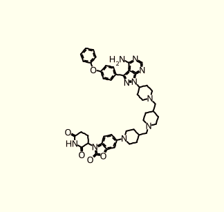 Nc1ncnc2c1c(-c1ccc(Oc3ccccc3)cc1)nn2C1CCN(CC2CCN(CC3CCN(c4ccc5c(c4)oc(=O)n5C4CCC(=O)NC4=O)CC3)CC2)CC1